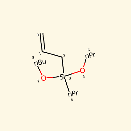 C=CC[Si](CCC)(OCCC)OCCCC